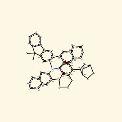 CC1(C)c2ccccc2-c2cc(-c3ccc4ccccc4c3)c(N(c3ccc(C4CC5CCC4C5)cc3)c3cc4ccccc4cc3C3CCCCC3)cc21